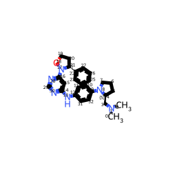 CN(C)C[C@@H]1CCCN1c1ccc(Nc2cc(N3OCC[C@@H]3c3ccccc3)ncn2)cc1